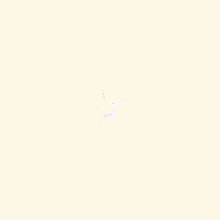 CC1=NN(COI)C(C)C1